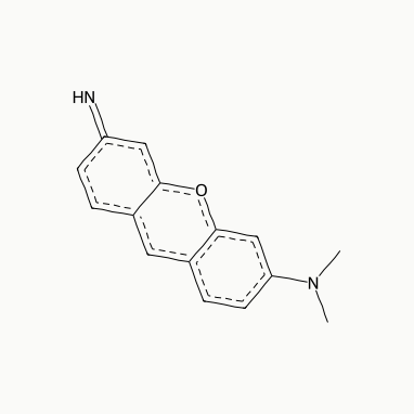 CN(C)c1ccc2cc3ccc(=N)cc-3oc2c1